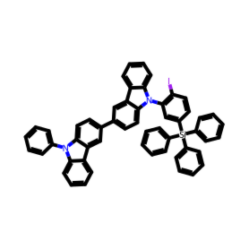 Ic1ccc([Si](c2ccccc2)(c2ccccc2)c2ccccc2)cc1-n1c2ccccc2c2cc(-c3ccc4c(c3)c3ccccc3n4-c3ccccc3)ccc21